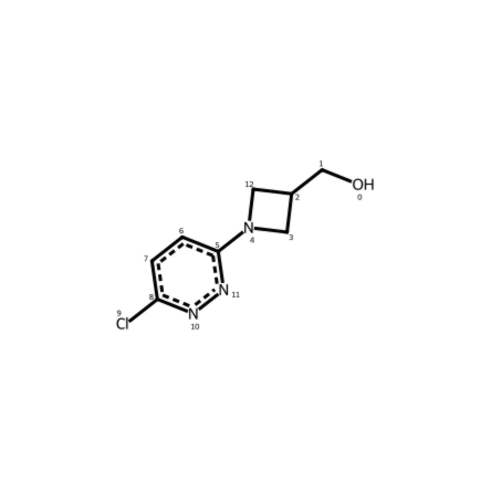 OCC1CN(c2ccc(Cl)nn2)C1